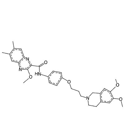 COc1cc2c(cc1OC)CN(CCCOc1ccc(NC(=O)c3nc4cc(C)c(C)cc4nc3OC)cc1)CC2